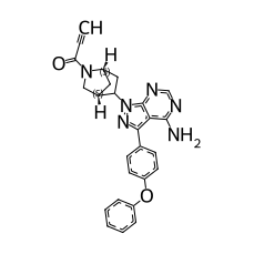 C#CC(=O)N1C[C@@H]2C[C@H]1CC2n1nc(-c2ccc(Oc3ccccc3)cc2)c2c(N)ncnc21